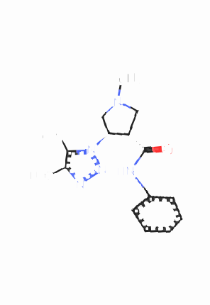 Cc1nnn([C@H]2CN(C)C[C@@H]2C(=O)Nc2ccccc2)c1C